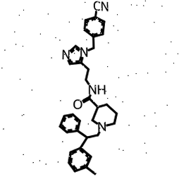 Cc1cccc(C(CN2CCCC(C(=O)NCCc3cncn3Cc3ccc(C#N)cc3)C2)c2ccccc2)c1